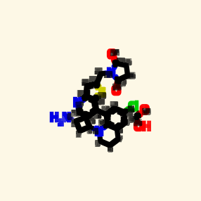 N[C@H]1C[C@H](N2CCCc3cc(Cl)cc(-c4ccnc5cc(CN6C(=O)CCC6=O)sc45)c32)C1.O=CO